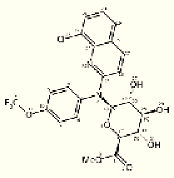 COC(=O)[C@H]1O[C@@H](N(c2ccc(OC(F)(F)F)cc2)c2ccc3cccc(Cl)c3n2)[C@H](O)[C@@H](O)[C@@H]1O